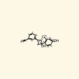 N#Cc1ccnc(N2CC(O)(c3ccc(O)cc3Cl)C2)c1